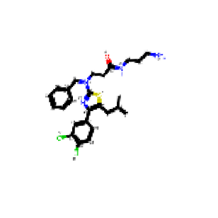 CC(C)Cc1sc(N(CCC(=O)NCCCN)Cc2ccccc2)nc1-c1ccc(Cl)c(Cl)c1